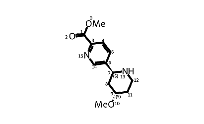 COC(=O)c1ccc([C@@H]2C[C@@H](OC)CCN2)cn1